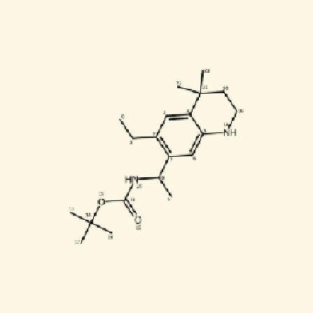 CCc1cc2c(cc1C(C)NC(=O)OC(C)(C)C)NCCC2(C)C